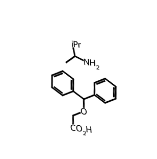 CC(C)C(C)N.O=C(O)COC(c1ccccc1)c1ccccc1